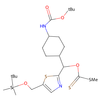 CSC(=S)OC(c1ncc(CO[Si](C)(C)C(C)(C)C)s1)C1CCC(NC(=O)OC(C)(C)C)CC1